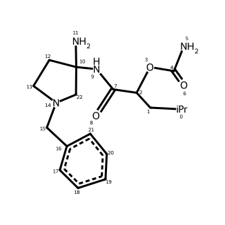 CC(C)CC(OC(N)=O)C(=O)NC1(N)CCN(Cc2ccccc2)C1